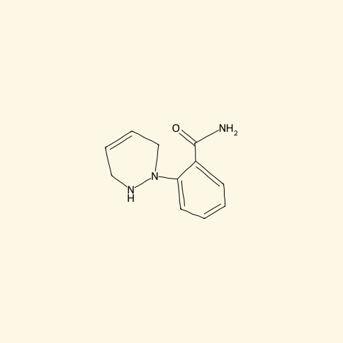 NC(=O)c1ccccc1N1CC=CCN1